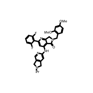 COc1ccc(CN2Cc3nc(-c4c(F)cccc4F)cc(Nc4cc5c(cn4)CN(C(C)C)C5)c3C2=O)c(OC)c1